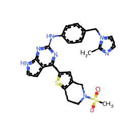 Cc1nccn1Cc1ccc(Nc2nc(-c3cc4c(s3)CCN(S(C)(=O)=O)C4)c3cc[nH]c3n2)cc1